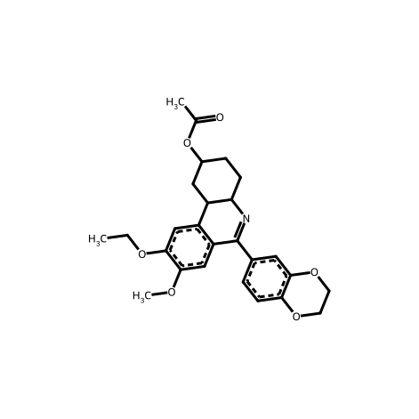 CCOc1cc2c(cc1OC)C(c1ccc3c(c1)OCCO3)=NC1CCC(OC(C)=O)CC21